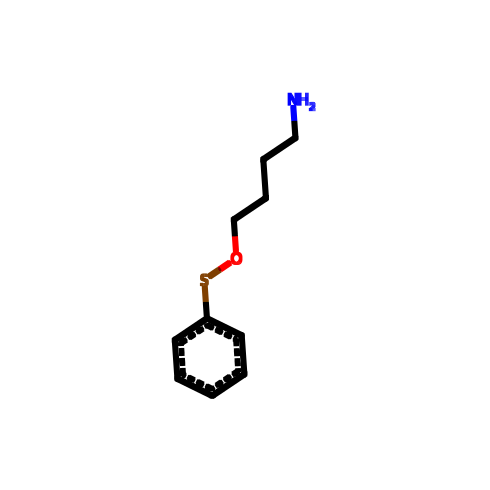 NCCCCOSc1ccccc1